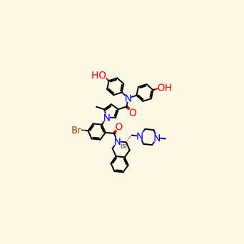 Cc1cc(C(=O)N(c2ccc(O)cc2)c2ccc(O)cc2)cn1-c1cc(Br)ccc1C(=O)N1Cc2ccccc2C[C@H]1CN1CCN(C)CC1